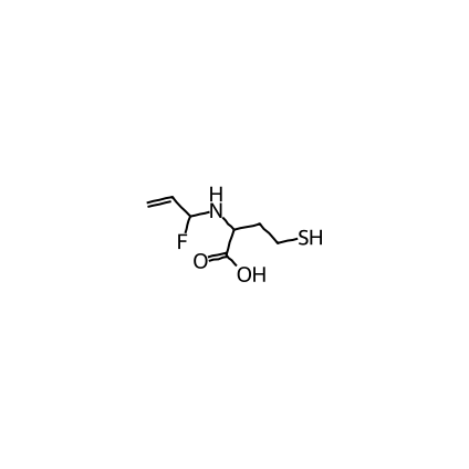 C=CC(F)NC(CCS)C(=O)O